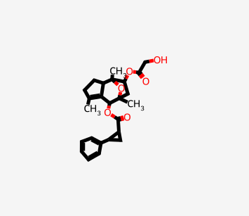 CC1=C2C(OC(=O)C3CC3c3ccccc3)C3(C)CC(OC(=O)CO)C(C)(O3)C2CC1